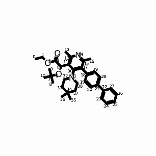 CCOC(=O)[C@@H](OC(C)(C)C)c1c(C)nc(C)c(-c2ccc(-c3ccccc3)cc2)c1N1CCC(C)(C)CC1